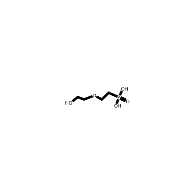 O=P(O)(O)CCOCCO